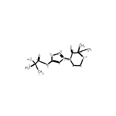 CC(C)(C)C(=O)[N-]c1c[n+](N2CCSC(C)(C)C2=O)no1